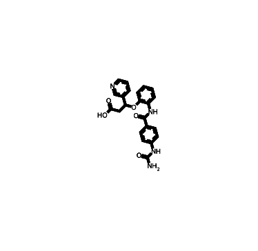 NC(=O)Nc1ccc(C(=O)Nc2ccccc2OC(CC(=O)O)c2cccnc2)cc1